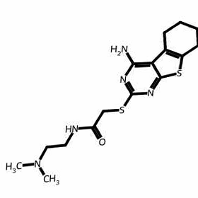 CN(C)CCNC(=O)CSc1nc(N)c2c3c(sc2n1)CCCC3